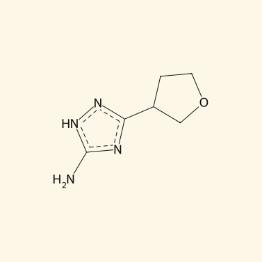 Nc1nc(C2CCOC2)n[nH]1